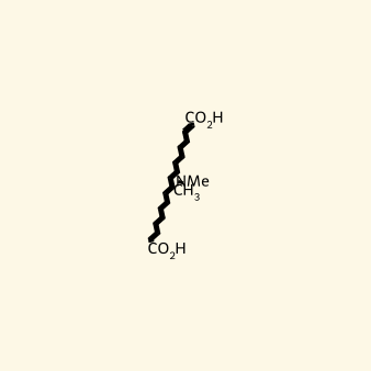 CNC.O=C(O)C=CCCCCCCCCCCCCCCC(=O)O